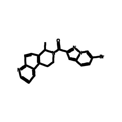 CC1c2ccc3ncccc3c2CCN1C(=O)c1cc2ccc(Br)cn2n1